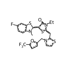 CCn1c(=O)/c(=C2\Sc3cc(F)ccc3N2C)s/c1=C\c1scc[n+]1Cc1ccc(C(F)(F)F)o1